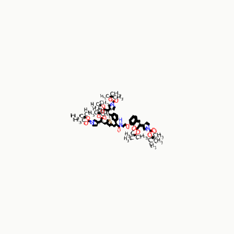 CC(C)(C)OC(=O)[C@@H](Cc1cccc(OCCNC(=O)C(Cc2cc(C[C@H](C(=O)OC(C)(C)C)[C@H]3CCN(C(=O)OC(C)(C)C)C3)cs2)c2cccc(C[C@H](C(=O)OC(C)(C)C)[C@H]3CCN(C(=O)OC(C)(C)C)C3)c2)c1)[C@H]1CCN(C(=O)OC(C)(C)C)C1